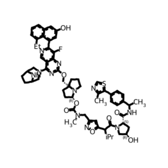 CCc1cccc2cc(O)cc(-c3ncc4c(N5CC6CCC(C5)N6)nc(OC[C@]56CCCN5[C@H](OC(=O)N(C)Cc5cc(C(C(=O)N7C[C@H](O)C[C@H]7C(=O)NC(C)c7ccc(-c8scnc8C)cc7)C(C)C)on5)CC6)nc4c3F)c12